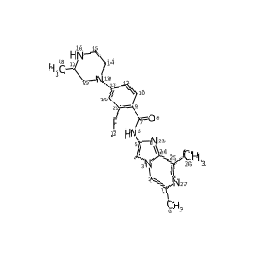 Cc1cn2cc(NC(=O)c3ccc(N4CCNC(C)C4)cc3F)nc2c(C)n1